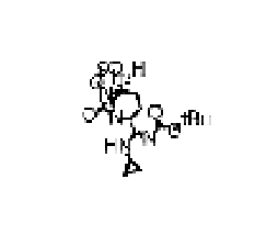 CC(C)(C)OC(=O)/N=C(/NC1CC1)[C@@H]1CC[C@@H]2CN1C(=O)N2OS(=O)(=O)O